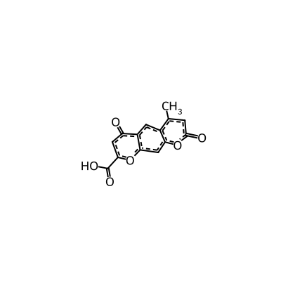 Cc1cc(=O)oc2cc3oc(C(=O)O)cc(=O)c3cc12